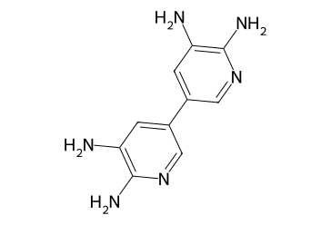 Nc1cc(-c2cnc(N)c(N)c2)cnc1N